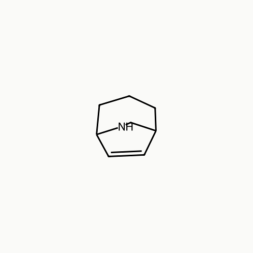 C1=CC2CCCC1CN2